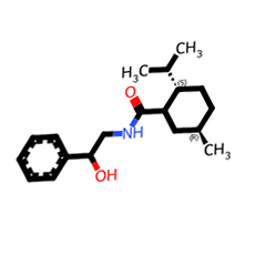 CC(C)[C@@H]1CC[C@@H](C)CC1C(=O)NCC(O)c1ccccc1